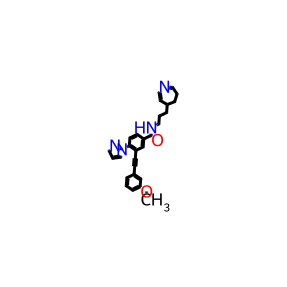 COc1cccc(C#Cc2cc(C(=O)NCCCC3C=CN=CCC3)ccc2-n2cccn2)c1